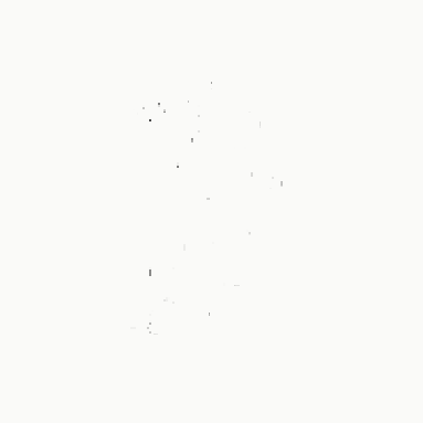 O=C1c2cccc([N+](=O)[O-])c2C=CC1Cc1ccc(C(F)(F)F)cc1